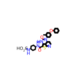 Cc1cc(Oc2ccccc2)ccc1N1C(=O)Nc2c(C(=O)N[C@H]3CC[C@H](NC(=O)O)CC3)sc3nccc1c23